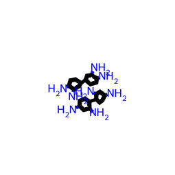 Nc1ccc(-c2ccc(N)c(N)c2)cc1N.Nc1ccc(-c2ccc(N)cc2N)c(N)c1